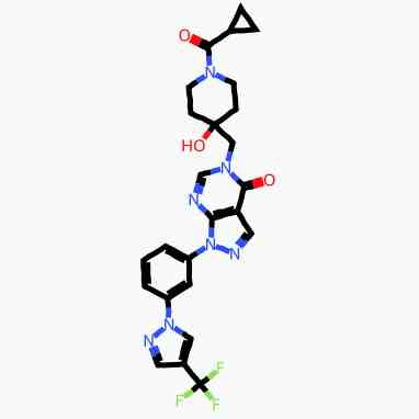 O=C(C1CC1)N1CCC(O)(Cn2cnc3c(cnn3-c3cccc(-n4cc(C(F)(F)F)cn4)c3)c2=O)CC1